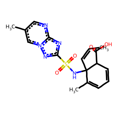 C/C=C\C1(NS(=O)(=O)c2nc3ncc(C)cn3n2)C(C)=CC=CC1C(=O)O